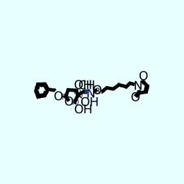 C/C(=N\OCCCCCCN1C(=O)C=CC1=O)[C@]1(O)[C@H](O)C[C@H](OCc2ccccc2)O[C@H]1O